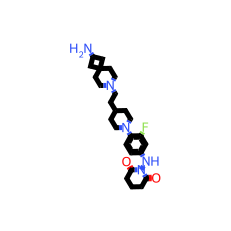 NC1CC2(CCN(CCC3CCN(c4ccc(NN5C(=O)CCCC5=O)cc4F)CC3)CC2)C1